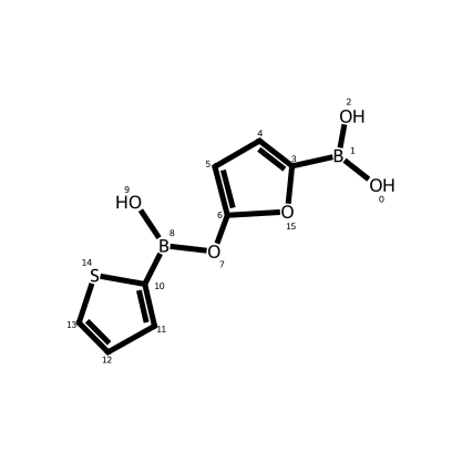 OB(O)c1ccc(OB(O)c2cccs2)o1